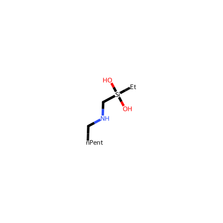 CCCCCCNC[Si](O)(O)CC